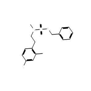 Cc1cc(N)ccc1CCN(C)S(=O)(=O)NCc1ccccc1